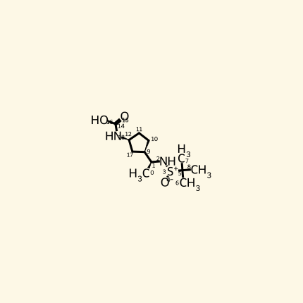 C[C@H](N[S+]([O-])C(C)(C)C)[C@@H]1CC[C@H](NC(=O)O)C1